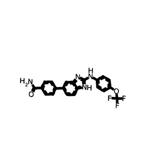 NC(=O)c1ccc(-c2ccc3[nH]c(Nc4ccc(OC(F)(F)F)cc4)nc3c2)cc1